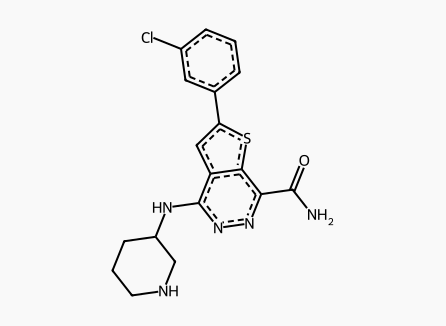 NC(=O)c1nnc(NC2CCCNC2)c2cc(-c3cccc(Cl)c3)sc12